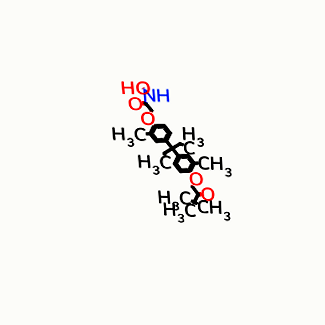 CCC(CC)(c1ccc(OCC(=O)NO)c(C)c1)c1ccc(OCC(=O)C(C)(C)C)c(C)c1